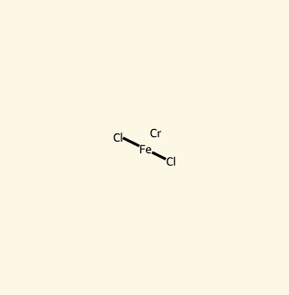 [Cl][Fe][Cl].[Cr]